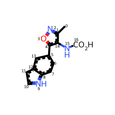 Cc1noc(-c2ccc3[nH]ccc3c2)c1NC(=O)O